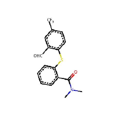 CN(C)C(=O)c1ccccc1Sc1ccc(C(F)(F)F)cc1C=O